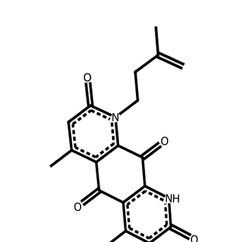 C=C(C)CCn1c2c(c(C)cc1=O)C(=O)c1c(C)cc(=O)[nH]c1C2=O